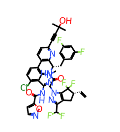 C=C[C@@H]1Cc2c(C(F)F)nn(CC(=O)N[C@@H](Cc3cc(F)cc(F)c3)c3nc(C#CC(C)(C)O)ccc3-c3ccc(Cl)c4c(NC(=O)c5ccno5)nn(C)c34)c2C1(F)F